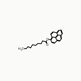 CCCCCCCCCC(=O)Oc1ccc2ccc3cccc4ccc1c2c34